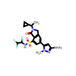 CC(=O)Nc1cc(-c2cc3c(c(S(=O)(=O)NC(F)C(F)F)c2)C(=O)N(C(C)C2CC2)C3)n(C)n1